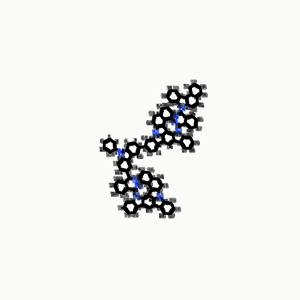 c1ccc(-n2c3ccc(-c4ccc5c6cc7c8ccccc8n(-c8nnc(-n9c%10ccccc%10c%10c%11ccccc%11ccc%109)c9ccccc89)c7c7c8c9ccccc9ccc8n(c5c4)c67)cc3c3cc(-c4nnc(-n5c6ccccc6c6cc7c8ccccc8n8c9ccc%10ccccc%10c9c(c65)c78)c5ccccc45)ccc32)cc1